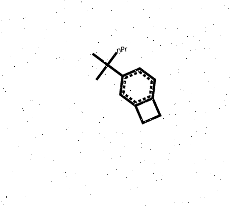 CCCC(C)(C)c1ccc2c(c1)CC2